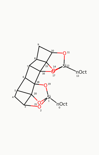 CCCCCCCC[Si]12OC3CC4C5C6C7CC8O[Si]9(CCCCCCCC)OC87C6(O9)C5(O1)C34O2